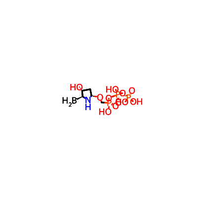 B[C@@H]1N[C@H](OCP(=O)(O)OP(=O)(O)OP(=O)(O)O)C[C@H]1O